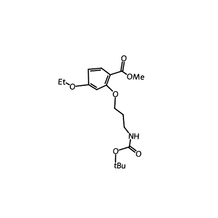 CCOc1ccc(C(=O)OC)c(OCCCNC(=O)OC(C)(C)C)c1